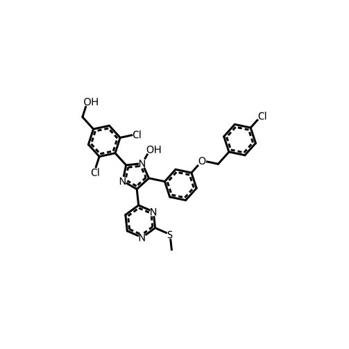 CSc1nccc(-c2nc(-c3c(Cl)cc(CO)cc3Cl)n(O)c2-c2cccc(OCc3ccc(Cl)cc3)c2)n1